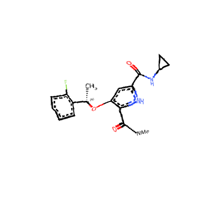 CNC(=O)c1[nH]c(C(=O)NC2CC2)cc1O[C@@H](C)c1ccccc1F